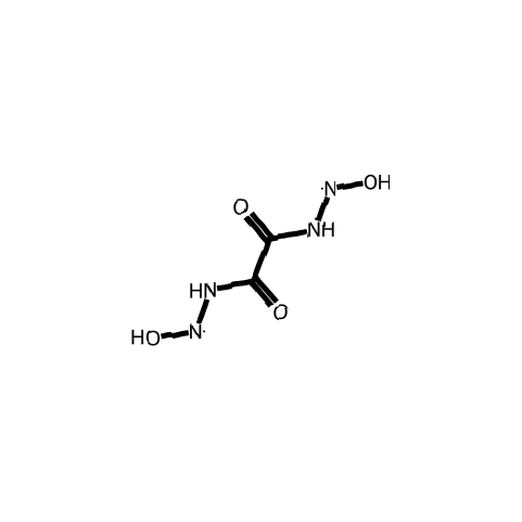 O=C(N[N]O)C(=O)N[N]O